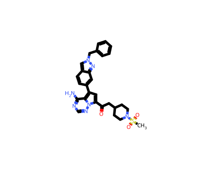 CS(=O)(=O)N1CCC(CC(=O)c2cc(-c3ccc4cn(Cc5ccccc5)nc4c3)c3c(N)ncnn23)CC1